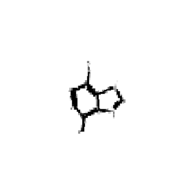 Cc1ccc(I)c2scnc12